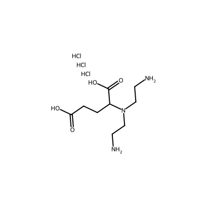 Cl.Cl.Cl.NCCN(CCN)C(CCC(=O)O)C(=O)O